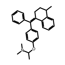 CC1CCC(=C(c2ccccc2)c2ccc(OC(C)N(C)C)cc2)c2ccccc21